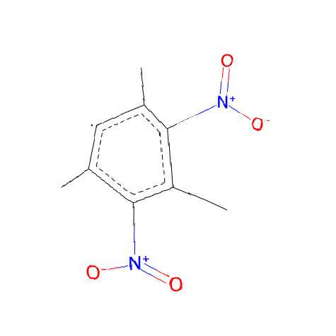 Cc1[c]c(C)c([N+](=O)[O-])c(C)c1[N+](=O)[O-]